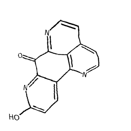 O=C1c2nc(O)ccc2-c2nccc3ccnc1c23